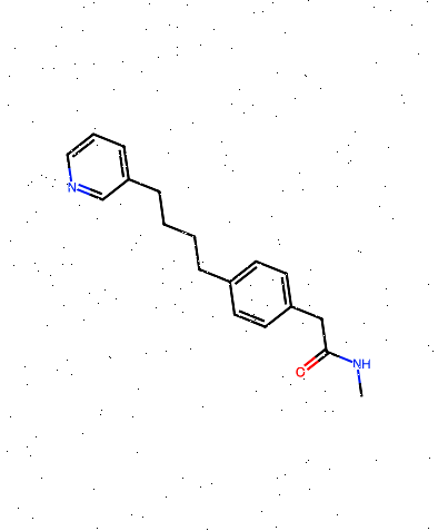 CNC(=O)Cc1ccc(CCCCc2cccnc2)cc1